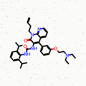 C=CCCn1c(=O)c(NC(=O)Nc2c(C(C)C)cccc2C(C)C)c(-c2cccc(OCCN(CC)CC)c2)c2cccnc21